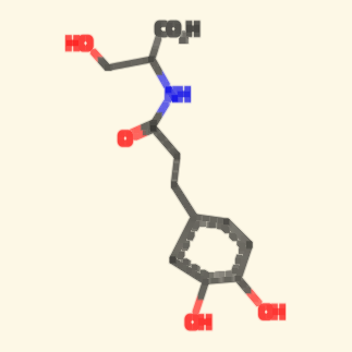 O=C(CCc1ccc(O)c(O)c1)NC(CO)C(=O)O